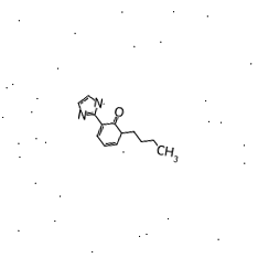 CCCCC1C=CC=C(C2=NC=C[N]2)C1=O